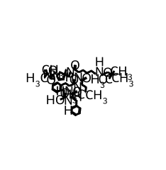 CC(C)CC(NC(=O)C(Cc1ccccc1)NC(=O)C(Cc1ccccc1)NC(=O)O)C(=O)NC(CCCCNC(=O)OC(C)(C)C)C(=O)N1CC2(CCN(S(=O)(=O)N(C)C)C2)C1